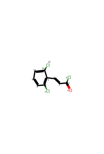 O=C(Cl)C=Cc1c(Cl)cccc1Cl